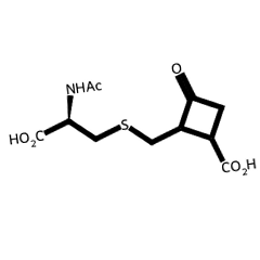 CC(=O)N[C@@H](CSCC1C(=O)CC1C(=O)O)C(=O)O